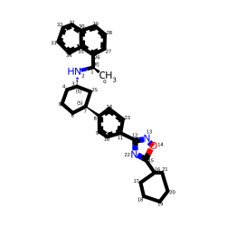 C[C@@H](N[C@H]1CCC[C@H](c2ccc(-c3noc(C4CCCCC4)n3)cc2)C1)c1cccc2ccccc12